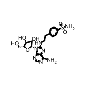 Nc1ncnc2c1nc(NCCc1ccc(S(N)(=O)=O)cc1)n2[C@@H]1O[C@H](CO)[C@@H](O)[C@H]1O